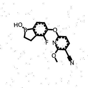 COc1nc(Oc2ccc3c(c2F)CCB3O)ccc1C#N